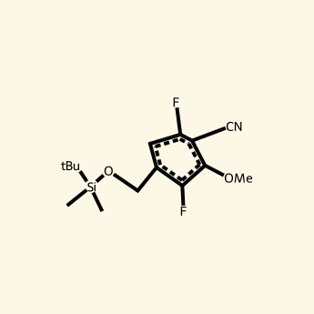 COc1c(F)c(CO[Si](C)(C)C(C)(C)C)cc(F)c1C#N